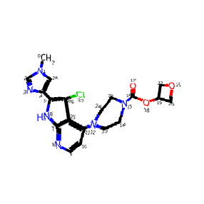 Cn1cnc(-c2[nH]c3nccc(N4CCN(C(=O)OC5COC5)CC4)c3c2Cl)c1